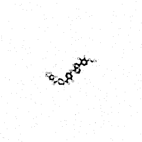 N#CCOc1ccc(-c2cnc3c(Nc4ccc(C(=O)N5CCN(C(=O)[C@@H]6C[C@@H](OC=O)CN6)CC5)c(Cl)c4)nccn23)c(Cl)c1F